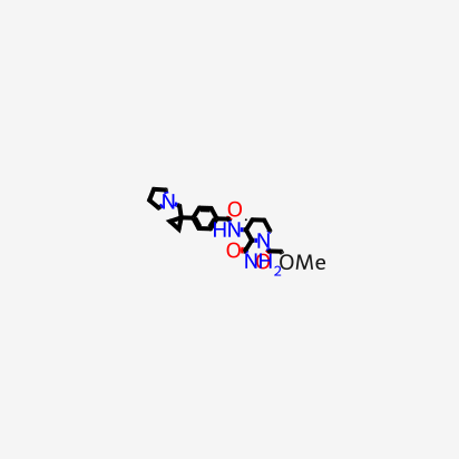 COCC(=O)N1CC[CH]C(NC(=O)c2ccc(C3(CN4CCCC4)CC3)cc2)C1C(N)=O